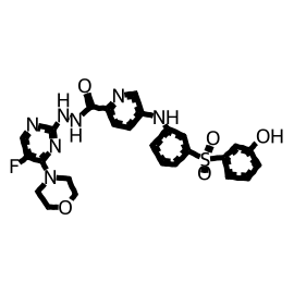 O=C(NNc1ncc(F)c(N2CCOCC2)n1)c1ccc(Nc2cccc(S(=O)(=O)c3cccc(O)c3)c2)cn1